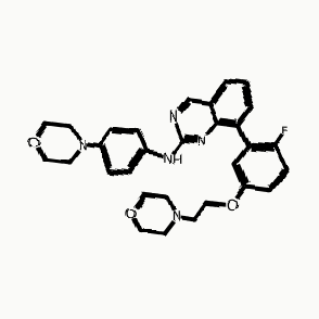 Fc1ccc(OCCN2CCOCC2)cc1-c1cccc2cnc(Nc3ccc(N4CCOCC4)cc3)nc12